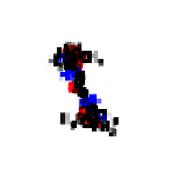 CC[C@H]1CC[C@@H](c2ncc(-c3ccc4c(c3)COc3cc5c(ccc6nc([C@@H]7CC[C@H](C)N7C(=O)[C@@H](NC(=O)OC)[C@@H](C)OC)[nH]c65)cc3-4)[nH]2)N1C(=O)[C@@H](NC(=O)OC)[C@@H](C)OC